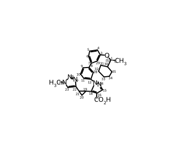 C[C@H](Oc1cccc(-c2cccc(-n3ncc(C(=O)O)c3C3CC3c3cn(C)nn3)c2)c1)C1CCCCC1